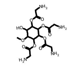 COC1C(O)C(OC(=O)CN)C(OC(=O)CN)C(OC(=O)CN)C1OC(=O)CN